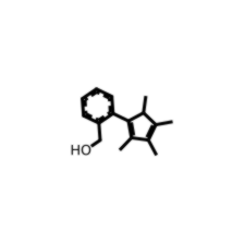 CC1=C(C)C(C)C(c2ccccc2CO)=C1C